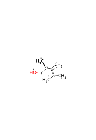 CC(C)=C(C)[C@H](C)CO